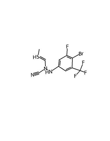 C[SH]=CN(C#N)Nc1cc(F)c(Br)c(C(F)(F)F)c1